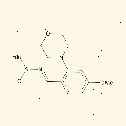 COc1ccc(/C=N/[S+]([O-])C(C)(C)C)c(N2CCOCC2)c1